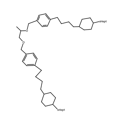 CCCCCCCC1CCC(CCCCc2ccc(COCC(C)OCc3ccc(CCCCC4CCC(CCCCCCC)CC4)cc3)cc2)CC1